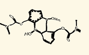 CON1c2cccc(OC(=O)N(C)C)c2[N+](O)=C2C=CC=C(OC(=O)N(C)C)C21